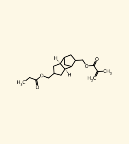 C=C(C)C(=O)OCC1CC2CC1[C@H]1CC(COC(=O)CC)C[C@@H]21